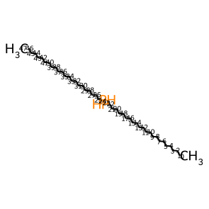 CCCCCCCCCCCCCCCCCCCCCCCPPCCCCCCCCCCCCCCCCCCCCCCC